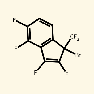 FC1=C(F)C(Br)(C(F)(F)F)c2ccc(F)c(F)c21